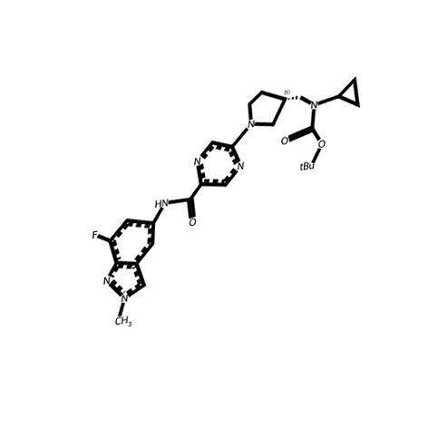 Cn1cc2cc(NC(=O)c3cnc(N4CC[C@H](CN(C(=O)OC(C)(C)C)C5CC5)C4)cn3)cc(F)c2n1